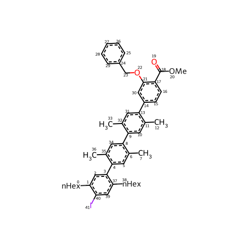 CCCCCCc1cc(-c2cc(C)c(-c3cc(C)c(-c4ccc(C(=O)OC)c(OCc5ccccc5)c4)cc3C)cc2C)c(CCCCCC)cc1I